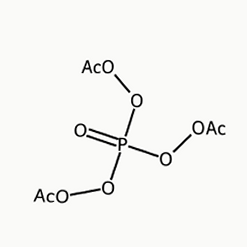 CC(=O)OOP(=O)(OOC(C)=O)OOC(C)=O